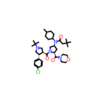 CC1CCC(N(C(=O)CC(C)(C)C)[C@H]2C[C@@H](C(=O)N3CCOCC3)N(C(=O)[C@@H]3CN(C(C)(C)C)C[C@H]3c3ccc(Cl)cc3)C2)CC1